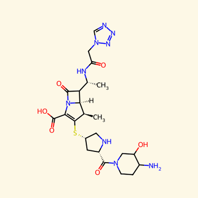 C[C@@H](NC(=O)Cn1cnnn1)C1C(=O)N2C(C(=O)O)=C(S[C@@H]3CN[C@H](C(=O)N4CCC(N)C(O)C4)C3)[C@H](C)[C@H]12